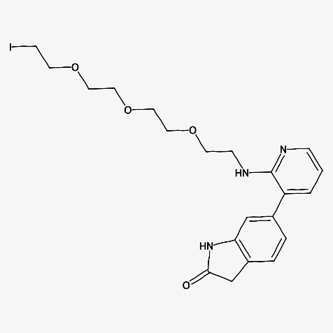 O=C1Cc2ccc(-c3cccnc3NCCOCCOCCOCCI)cc2N1